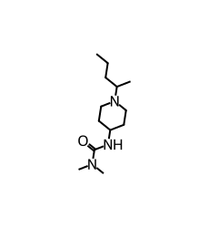 CCCC(C)N1CCC(NC(=O)N(C)C)CC1